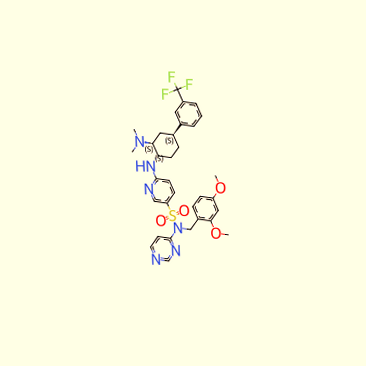 COc1ccc(CN(c2ccncn2)S(=O)(=O)c2ccc(N[C@H]3CC[C@H](c4cccc(C(F)(F)F)c4)C[C@@H]3N(C)C)nc2)c(OC)c1